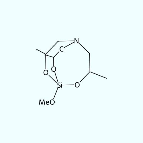 CO[Si]12OC(C)CN(CC(C)O1)CC(C)O2